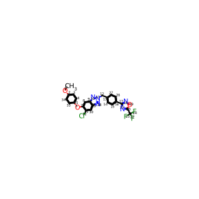 COc1ccc(Oc2cc3nn(Cc4ccc(-c5noc(C(F)(F)F)n5)cc4)nc3cc2Cl)cc1